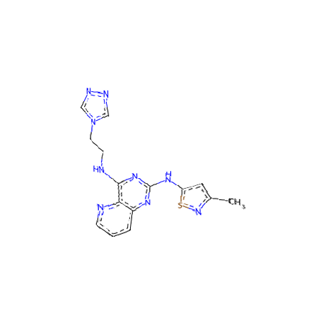 Cc1cc(Nc2nc(NCCn3cnnc3)c3ncccc3n2)sn1